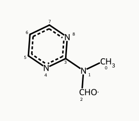 CN([C]=O)c1ncccn1